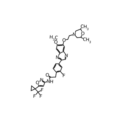 COc1cc2nc(-c3ccc(CC(=O)Nc4cc(C5(C(F)(F)F)CC5)on4)c(F)c3)cnc2cc1OCCN1CC(C)OC(C)C1